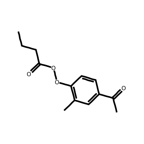 CCCC(=O)OOc1ccc(C(C)=O)cc1C